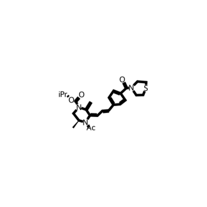 C=C1/C(=C\C=C\c2ccc(C(=O)N3CCSCC3)cc2)N(C(C)=O)[C@@H](C)CN1C(=O)OC(C)C